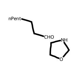 C1COCN1.CCCCCCCC=O